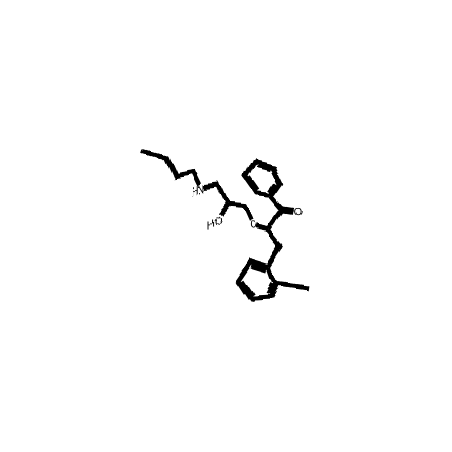 CCCCNCC(O)COC(Cc1ccccc1C)C(=O)c1ccccc1